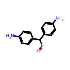 Nc1ccc(C(P=O)c2ccc(N)cc2)cc1